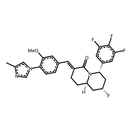 COc1cc(/C=C2\CC[C@@H]3C[C@@H](F)C[C@@H](c4cc(F)c(F)c(F)c4)N3C2=O)ccc1-n1cnc(C)c1